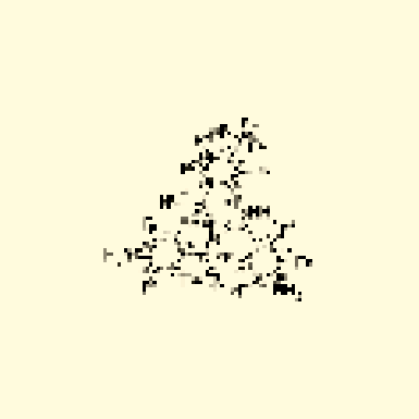 N#C/C(=C1\C(=C(N)c2c(F)c(F)c(N)c(F)c2F)\C1=C(\C#N)c1c(F)c(F)c(C(F)(F)F)c(F)c1F)c1c(F)c(F)c(N)c(F)c1F